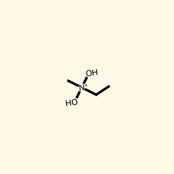 CC[N+](C)(O)O